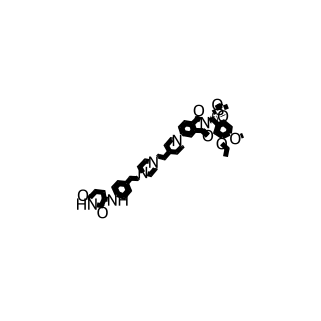 CCOc1cc([C@@H](CS(C)(=O)=O)N2C(=O)c3ccc(N4CCC(CCN5CCN(CCc6ccc(NC7CCC(=O)NC7=O)cc6)CC5)CC4)cc3C2=O)ccc1OC